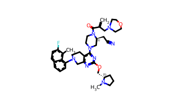 C=C(CN1CCOCC1)C(=O)N1CCN(c2nc(OC[C@@H]3CCCN3C)nc3c2CCN(c2cccc4ccc(F)c(C)c24)C3)C[C@@H]1CC#N